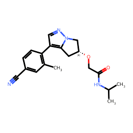 Cc1cc(C#N)ccc1-c1cnn2c1C[C@@H](OCC(=O)NC(C)C)C2